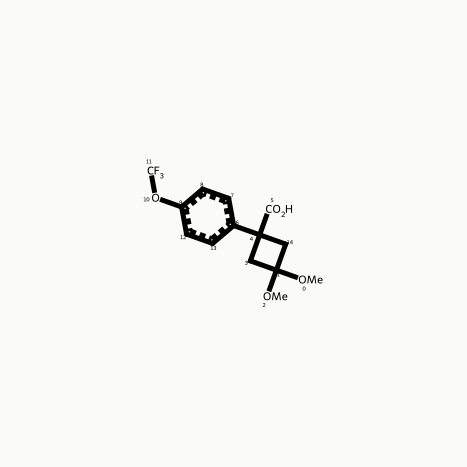 COC1(OC)CC(C(=O)O)(c2ccc(OC(F)(F)F)cc2)C1